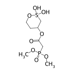 COP(=O)(CC(=O)OC1CCOS(O)(O)C1)OC